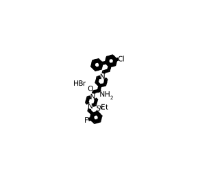 Br.CCSc1cccc(F)c1CN1CCN(C(=O)C(N)C2CCN(CCc3cc(Cl)ccc3-c3ccccc3)CC2)CC1